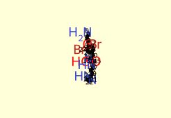 NCCCOc1c(Br)cc(CC(=NO)C(=O)NCCCc2ncc[nH]2)cc1Br